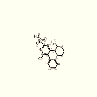 CC1CCCCN1c1nc(S(C)(=O)=O)nc(Cl)c1-c1ccccc1